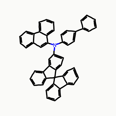 c1ccc(-c2ccc(N(c3ccc4c(c3)-c3ccccc3C43c4ccccc4-c4ccccc43)c3cc4ccccc4c4ccccc34)cc2)cc1